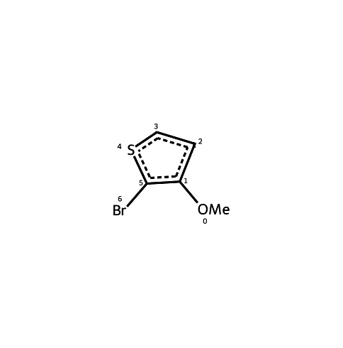 COc1[c]csc1Br